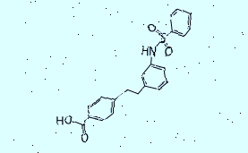 O=C(O)c1ccc(CCc2cccc(NS(=O)(=O)c3ccccc3)c2)cc1